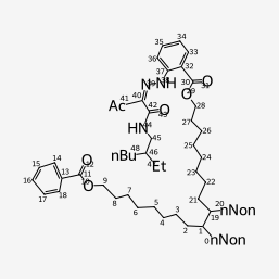 CCCCCCCCCC(CCCCCCCCOC(=O)c1ccccc1)C(CCCCCCCCC)CCCCCCCCOC(=O)c1ccccc1N/N=C(/C(C)=O)C(=O)NCC(CC)CCCC